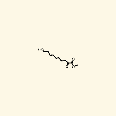 COC(=O)C(=O)CCCCCCCCO